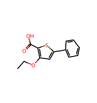 CCOc1cc(-c2ccccc2)sc1C(=O)O